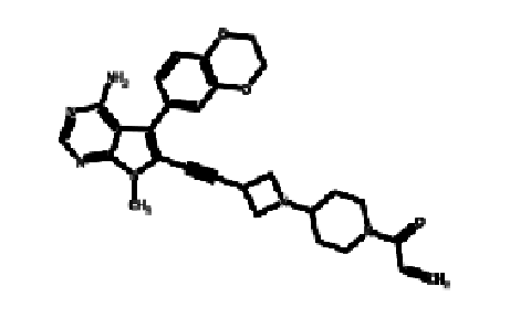 C=CC(=O)N1CCC(N2CC(C#Cc3c(-c4ccc5c(c4)OCCO5)c4c(N)ncnc4n3C)C2)CC1